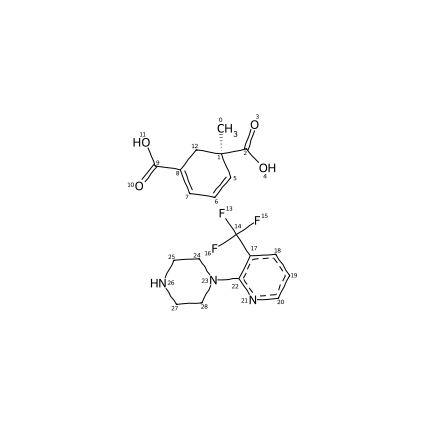 C[C@]1(C(=O)O)C=CC=C(C(=O)O)C1.FC(F)(F)c1cccnc1N1CCNCC1